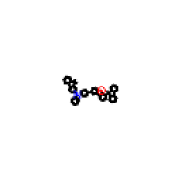 CC1(C)c2ccccc2-c2ccc(N(c3ccccc3)c3ccc(-c4ccc5oc6c(C7(C)c8ccccc8-c8ccccc87)cccc6c5c4)cc3)cc21